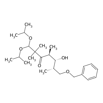 CC(C)OC(OC(C)C)C(C)(C)C(=O)[C@@H](C)[C@H](O)[C@@H](C)COCc1ccccc1